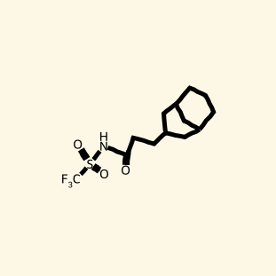 O=C(CCC1CC2CCCC(C2)C1)NS(=O)(=O)C(F)(F)F